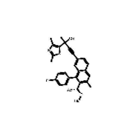 CC(=O)[C@@H](OC(C)(C)C)c1c(C)cc2ccc(C#CC(C)(O)c3sc(C)nc3C)cc2c1-c1ccc(Cl)cc1